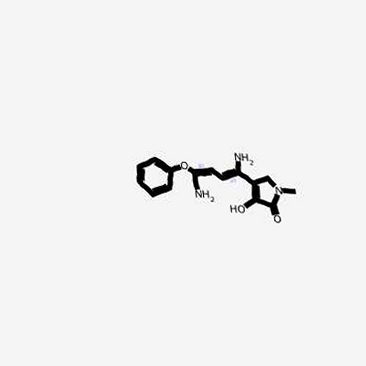 CN1CC(/C(N)=C/C=C(\N)Oc2ccccc2)=C(O)C1=O